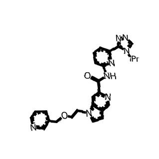 CC(C)n1cnnc1-c1cccc(NC(=O)c2cc3c(ccn3CCOCc3cccnc3)cn2)n1